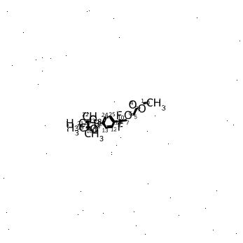 CCOC(=O)COCC(F)(F)c1ccc(B2OC(C)(C)C(C)(C)O2)cc1